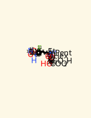 CCCCCC[N+](CC)(CCCCC)C(CCCc1ccc(NS(=O)(=O)N(C)C)cc1F)OC(=O)CC(O)(CC(=O)O)C(=O)[O-]